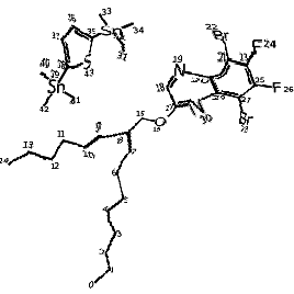 CCCCCCCCC(CCCCCC)COc1cnc2c(Br)c(F)c(F)c(Br)c2n1.[CH3][Sn]([CH3])([CH3])[c]1cc[c]([Sn]([CH3])([CH3])[CH3])s1